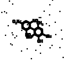 Cc1cc(C(C)(C)C)c(O)c(C(C)(C)C)c1-c1c([N+](=O)[O-])cc([N+](=O)[O-])cc1[N+](=O)[O-]